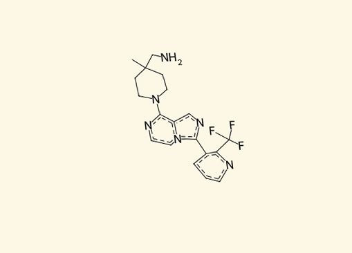 CC1(CN)CCN(c2nccn3c(-c4cccnc4C(F)(F)F)ncc23)CC1